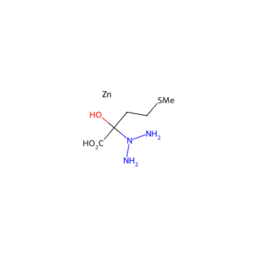 CSCCC(O)(C(=O)O)N(N)N.[Zn]